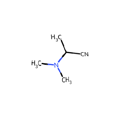 CC(C#N)N(C)C